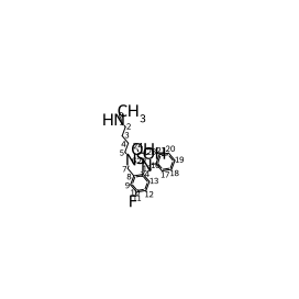 CNCCCCN1Cc2cc(F)ccc2N(c2ccccc2)S1(O)O